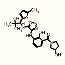 Cc1ccc(C(Nc2nsnc2Nc2cccc(C(=O)N3CCC(O)C3)c2O)C(C)(C)C)s1